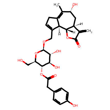 C=C1C(=O)O[C@@H]2[C@H]3C(CO[C@@H]4O[C@H](CO)[C@@H](OC(=O)Cc5ccc(O)cc5)[C@H](O)[C@H]4O)=CCC3=C(C)[C@H](O)C[C@@H]12